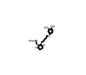 CCCCCCOC[C@H]1[C@@H](CCCCCOc2ccc(O)c(O)c2)[C@H]2CC[C@@H]1O2